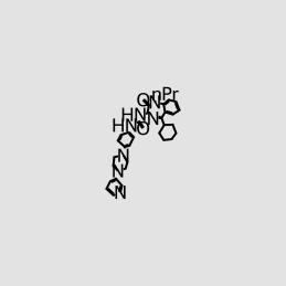 CCCN1C(=O)C(NC(=O)Nc2ccc(N3CCN(c4cccnc4)CC3)cc2)N=C(C2CCCCC2)c2ccccc21